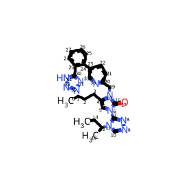 CCCCc1cn(-c2nncn2C(C)CC)c(=O)n1Cc1ccc(-c2ccccc2-c2nnn[nH]2)cn1